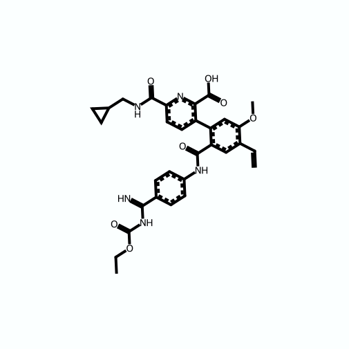 C=Cc1cc(C(=O)Nc2ccc(C(=N)NC(=O)OCC)cc2)c(-c2ccc(C(=O)NCC3CC3)nc2C(=O)O)cc1OC